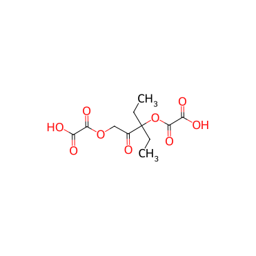 CCC(CC)(OC(=O)C(=O)O)C(=O)COC(=O)C(=O)O